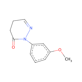 COc1cccc(N2N=CCCC2=O)c1